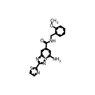 COc1ccccc1CNC(=O)c1cc(N)n2nc(-c3nccs3)nc2c1